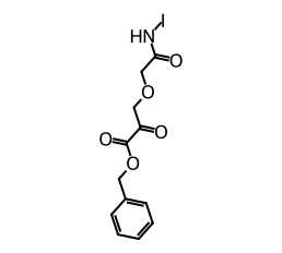 O=C(COCC(=O)C(=O)OCc1ccccc1)NI